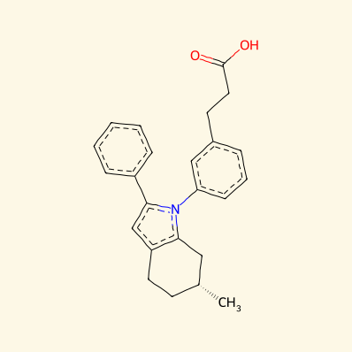 C[C@@H]1CCc2cc(-c3ccccc3)n(-c3cccc(CCC(=O)O)c3)c2C1